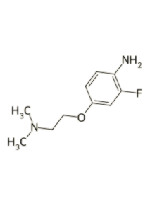 CN(C)CCOc1ccc(N)c(F)c1